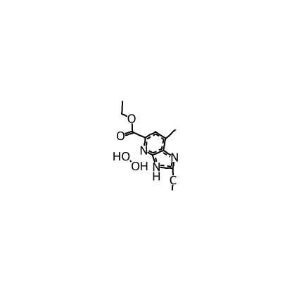 CCOC(=O)c1cc(C)c2nc(CC)[nH]c2n1.OO